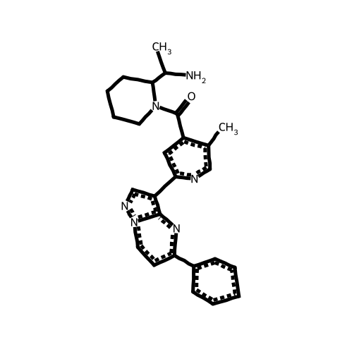 Cc1cnc(-c2cnn3ccc(-c4ccccc4)nc23)cc1C(=O)N1CCCCC1C(C)N